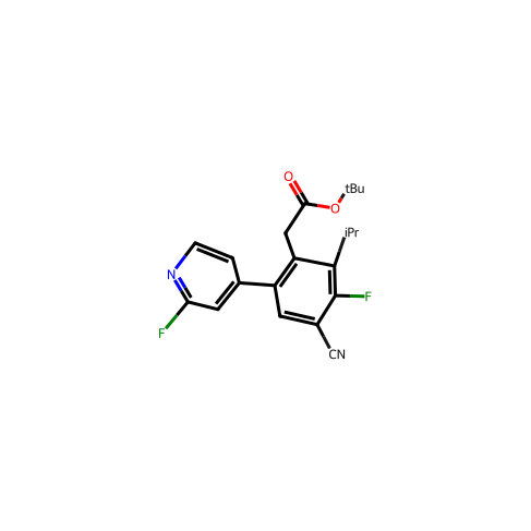 CC(C)c1c(F)c(C#N)cc(-c2ccnc(F)c2)c1CC(=O)OC(C)(C)C